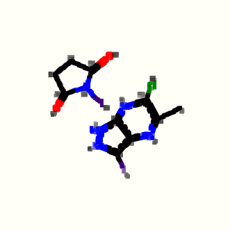 Cc1nc2c(I)n[nH]c2nc1Cl.O=C1CCC(=O)N1I